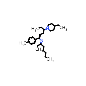 CCCCC/C(CC)=N/C(=C\CC(CC)N1CCC(CC)CC1)c1ccc(C)cc1